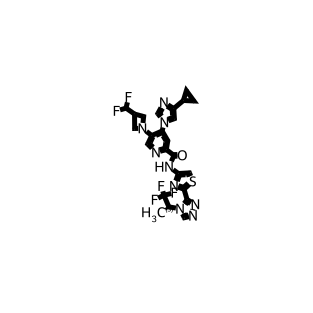 C[C@H](n1cnnc1-c1nc(NC(=O)c2cc(-n3cnc(C4CC4)c3)c(N3CC(C(F)F)C3)cn2)cs1)C(F)(F)F